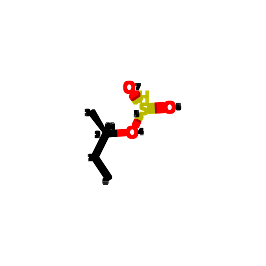 CC[C@@H](C)O[SH](=O)=O